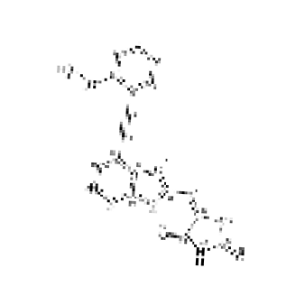 COc1ccccc1C#Cc1cncc2cc(C=C3SC(=O)NC3=O)oc12